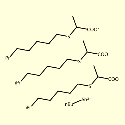 CC(C)CCCCCSC(C)C(=O)[O-].CC(C)CCCCCSC(C)C(=O)[O-].CC(C)CCCCCSC(C)C(=O)[O-].CCC[CH2][Sn+3]